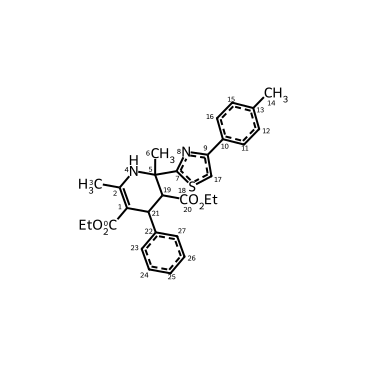 CCOC(=O)C1=C(C)NC(C)(c2nc(-c3ccc(C)cc3)cs2)C(C(=O)OCC)C1c1ccccc1